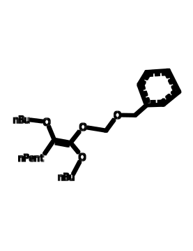 CCCCC/C(OCCCC)=C(\OCCCC)OCOCc1ccccc1